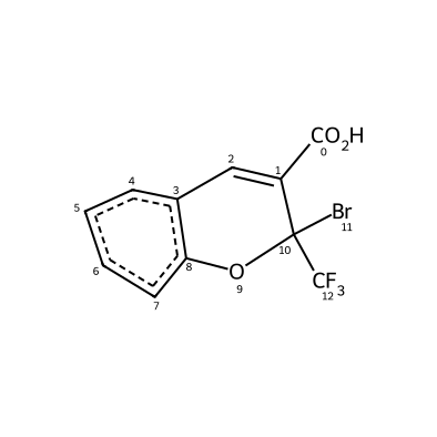 O=C(O)C1=Cc2ccccc2OC1(Br)C(F)(F)F